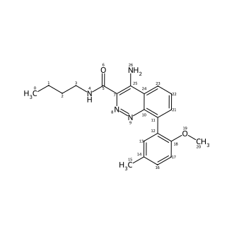 CCCCNC(=O)c1nnc2c(-c3cc(C)ccc3OC)cccc2c1N